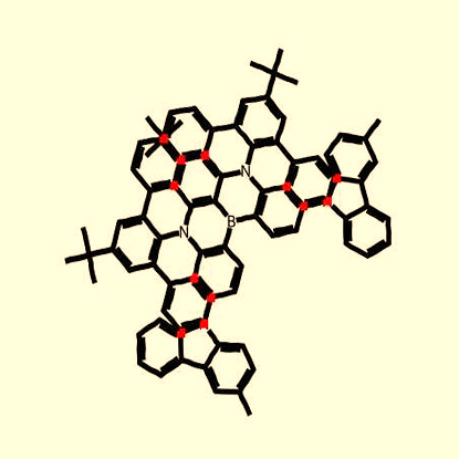 Cc1ccc2c(c1)c1ccccc1n2-c1ccc2c(c1)N(c1c(-c3ccccc3)cc(C(C)(C)C)cc1-c1ccccc1)c1cc(C(C)(C)C)cc3c1B2c1ccc(-n2c4ccccc4c4cc(C)ccc42)cc1N3c1c(-c2ccccc2)cc(C(C)(C)C)cc1-c1ccccc1